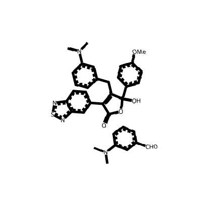 CN(C)c1cccc(C=O)c1.COc1ccc(C2(O)OC(=O)C(c3ccc4nsnc4c3)=C2Cc2cccc(N(C)C)c2)cc1